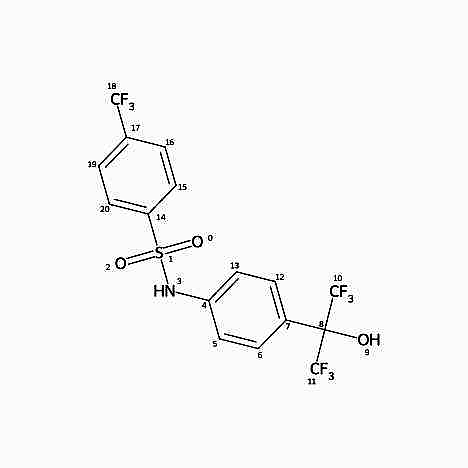 O=S(=O)(Nc1ccc(C(O)(C(F)(F)F)C(F)(F)F)cc1)c1ccc(C(F)(F)F)cc1